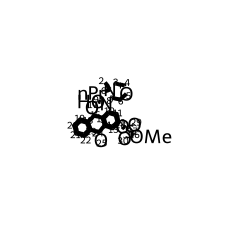 CCC[N+]1(C)CCOCC1N(O)c1cccc2c1C(=O)c1ccccc1C2=O.COS(=O)(=O)[O-]